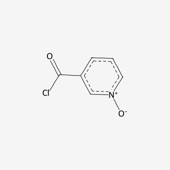 O=C(Cl)c1ccc[n+]([O-])c1